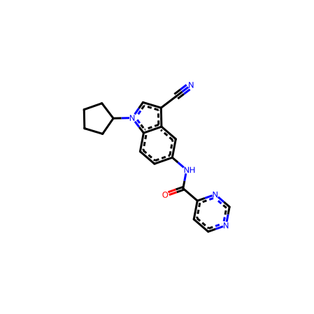 N#Cc1cn(C2CCCC2)c2ccc(NC(=O)c3ccncn3)cc12